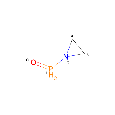 O=[PH2]N1CC1